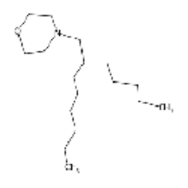 CCCCCCC(CCCCC)CN1CCOCC1